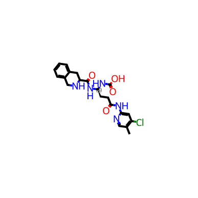 Cc1cnc(NC(=O)CC[C@H](NC(=O)O)NC(=O)C2Cc3ccccc3CN2)cc1Cl